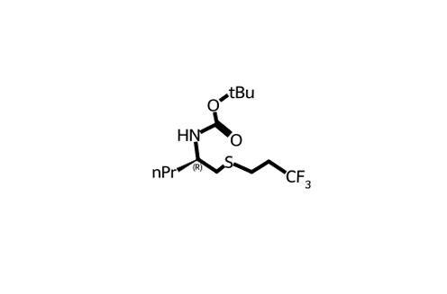 CCC[C@H](CSCCC(F)(F)F)NC(=O)OC(C)(C)C